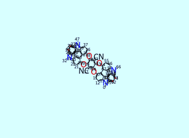 Cn1c2ccccc2c2c3c(ccc21)oc1c(C#N)c2oc4ccc5c(c6ccccc6n5C)c4c4c(ccc5c4c4ccccc4n5C)oc2c(C#N)c1oc1ccc2c(c4ccccc4n2C)c13